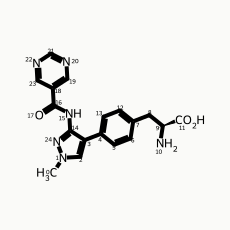 Cn1cc(-c2ccc(C[C@H](N)C(=O)O)cc2)c(NC(=O)c2cncnc2)n1